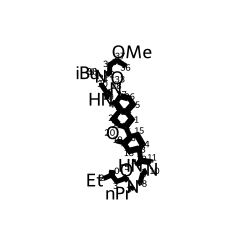 C=C(CC)CC(=O)N(CCC)Cc1ncc(-c2ccc3c(c2)COc2cc4c(ccc5nc(CN(C(=O)CC(C)OC)[C@@H](C)CC)[nH]c54)cc2-3)[nH]1